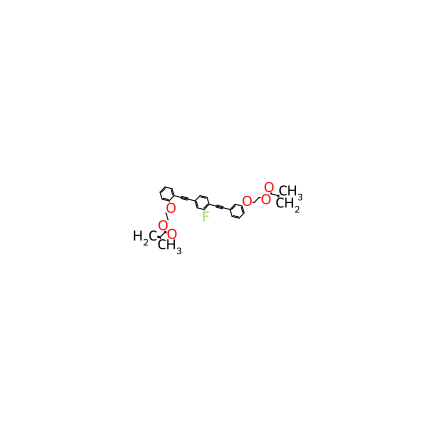 C=C(C)C(=O)OCCOc1cccc(C#Cc2ccc(C#Cc3ccccc3OCCOC(=O)C(=C)C)cc2F)c1